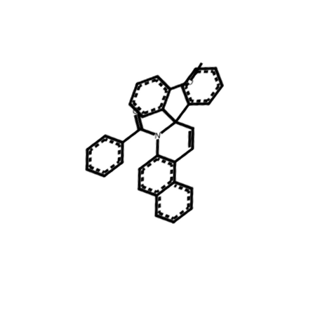 COc1ccccc1C1(c2ccccc2)C=Cc2c(ccc3ccccc23)N1C(=O)c1ccccc1